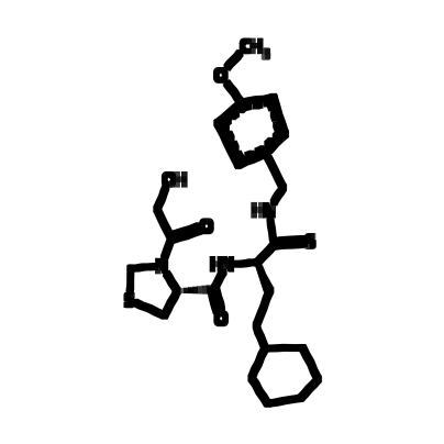 COc1ccc(CNC(=S)[C@@H](CCC2CCCCC2)NC(=O)[C@@H]2CSCN2C(=O)CO)cc1